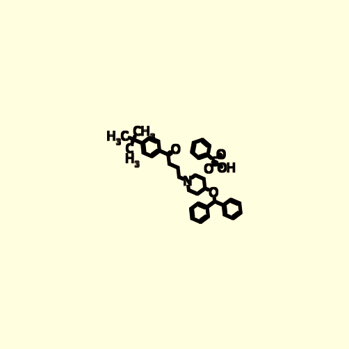 CC(C)(C)c1ccc(C(=O)CCCN2CCC(OC(c3ccccc3)c3ccccc3)CC2)cc1.O=S(=O)(O)c1ccccc1